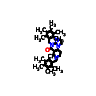 Cc1c(C)c(C)c(CN2CCC3=C(C2)C(=O)N(Cc2c(C)c(C)c(C)c(C)c2C)C2=NCCN23)c(C)c1C